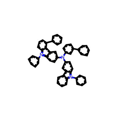 c1ccc(-c2cccc(N(c3ccc4c(c3)c3ccccc3n4-c3ccccc3)c3ccc4c(c3)c3c(-c5ccccc5)cccc3n4-c3ccccc3)c2)cc1